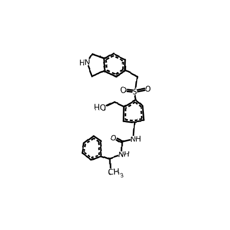 CC(NC(=O)Nc1ccc(S(=O)(=O)Cc2ccc3c(c2)CNC3)c(CO)c1)c1ccccc1